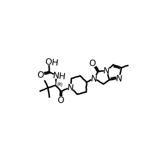 Cc1cn2c(n1)CN(C1CCN(C(=O)[C@H](NC(=O)O)C(C)(C)C)CC1)C2=O